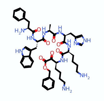 C[C@H](NC(=O)[C@H](Cc1c[nH]c2ccccc12)NC(=O)[C@@H](N)Cc1ccccc1)C(=O)N[C@@H](Cc1c[nH]cn1)C(=O)N[C@@H](CCCCN)C(=O)N[C@@H](CCCCN)C(=O)C(=O)OCc1ccccc1